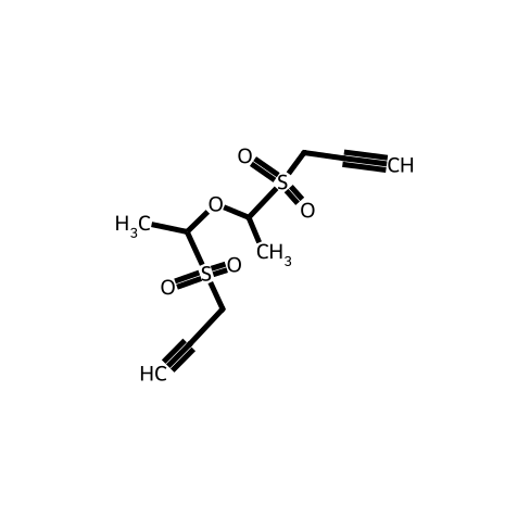 C#CCS(=O)(=O)C(C)OC(C)S(=O)(=O)CC#C